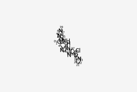 CCOc1cc2ncc(C#N)c(Nc3ccc(OCc4ccccn4)c(Cl)c3)c2c(C)c1NC(=O)CC(CN(C)C)N(C)C